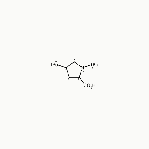 CC(C)(C)C1CC(C(=O)O)N(C(C)(C)C)C1